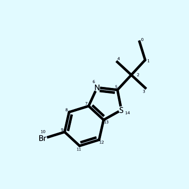 CCC(C)(C)c1nc2cc(Br)ccc2s1